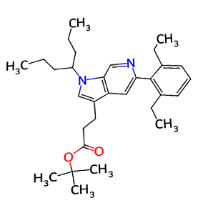 CCCC(CCC)n1cc(CCC(=O)OC(C)(C)C)c2cc(-c3c(CC)cccc3CC)ncc21